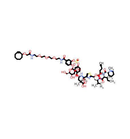 C#CCCCON(C(=O)[C@@H](NC(=O)[C@H]1CCCCN1C)[C@@H](C)CC)[C@H](C[C@@H](OC(C)=O)c1nc(C(=O)N[C@@H](Cc2ccc(OS(=O)(=O)Oc3cc(C(=O)NCCOCCOCCOCCNC(=O)COC4C#CCCCCC4)ccc3O[C@@H]3O[C@H](CO)[C@H](O)[C@H](O)[C@H]3O)cc2)CC(C)(C)C(=O)O)cs1)C(C)C